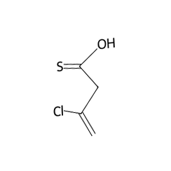 C=C(Cl)CC(O)=S